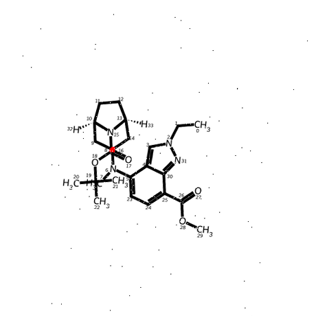 CCn1cc2c(N(C)C3C[C@H]4CC[C@@H](C3)N4C(=O)OC(C)(C)C)ccc(C(=O)OC)c2n1